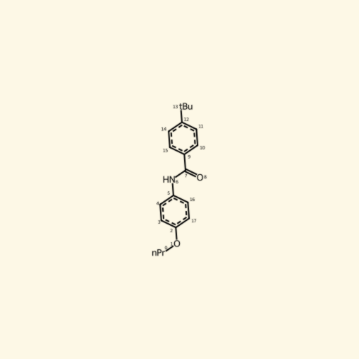 CCCOc1ccc(NC(=O)c2ccc(C(C)(C)C)cc2)cc1